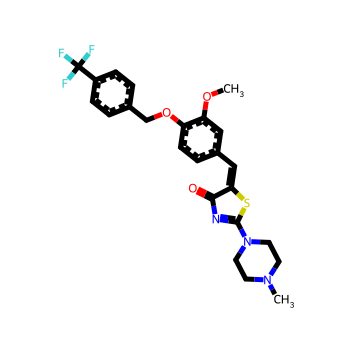 COc1cc(C=C2SC(N3CCN(C)CC3)=NC2=O)ccc1OCc1ccc(C(F)(F)F)cc1